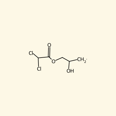 [CH2]C(O)COC(=O)C(Cl)Cl